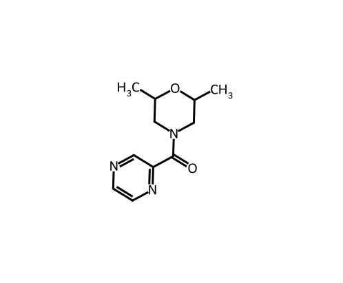 CC1CN(C(=O)c2cnccn2)CC(C)O1